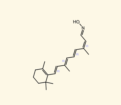 CC1=C(/C=C/C(C)=C/C=C/C(C)=C\C=NO)C(C)(C)CCC1